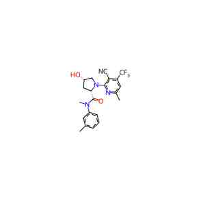 Cc1cccc(N(C)C(=O)[C@@H]2C[C@H](O)CN2c2nc(C)cc(C(F)(F)F)c2C#N)c1